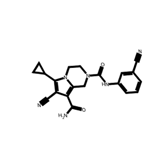 N#Cc1cccc(NC(=O)N2CCn3c(c(C(N)=O)c(C#N)c3C3CC3)C2)c1